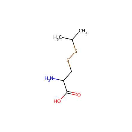 CC(C)SSCC(N)C(=O)O